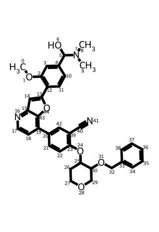 COc1cc(C(O)N(C)C)ccc1-c1cc2nccc(-c3ccc(OC4CCOCC4OCc4ccccc4)c(C#N)c3)c2o1